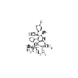 CC(C)c1nc2c(c(C3=CCCC3)c1[C@H](O)c1ccc(F)cc1)C(O[Si](C)(C)C(C)(C)C)CC(C)(C)C2